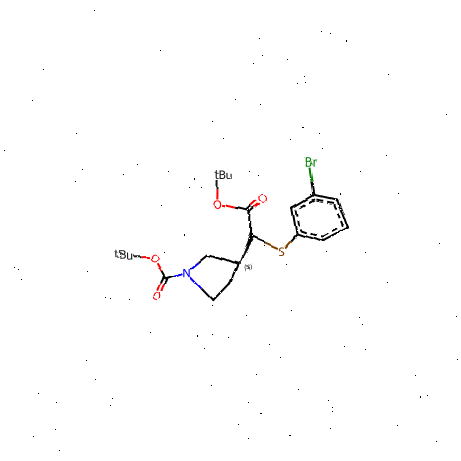 CC(C)(C)OC(=O)C(Sc1cccc(Br)c1)[C@H]1CCN(C(=O)OC(C)(C)C)C1